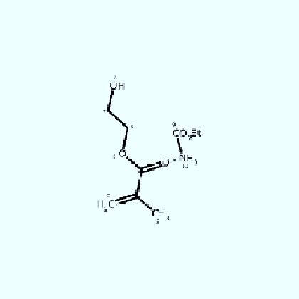 C=C(C)C(=O)OCCO.CCOC(N)=O